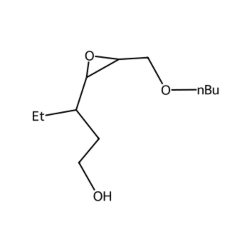 CCCCOCC1OC1C(CC)CCO